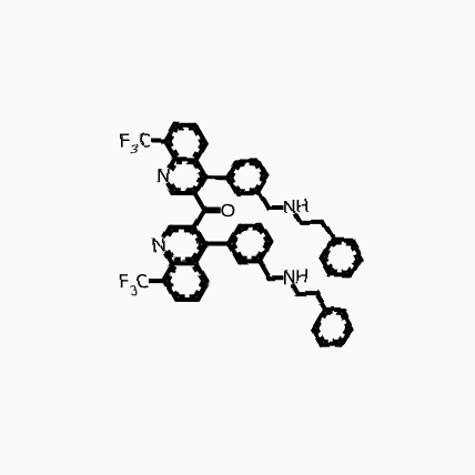 O=C(c1cnc2c(C(F)(F)F)cccc2c1-c1cccc(CNCCc2ccccc2)c1)c1cnc2c(C(F)(F)F)cccc2c1-c1cccc(CNCCc2ccccc2)c1